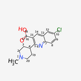 CN1CCC(c2nc3ccc(Cl)cc3cc2C(=O)O)CC1